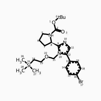 CC(C)(C)OC(=O)N1CCC[C@@H]1c1ncc(-c2ccc(Br)cc2)n1COCC[Si](C)(C)C